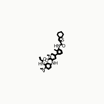 C=CC(=O)Nc1cc(Nc2cc(-c3cccc(NC(=O)c4cc5c(s4)CCCC5)c3C)cn(C)c2=O)ccc1N(C)C